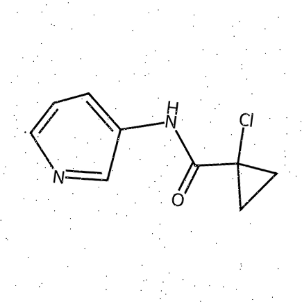 O=C(Nc1cc[c]nc1)C1(Cl)CC1